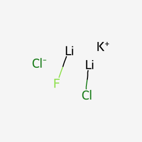 [Cl-].[K+].[Li][Cl].[Li][F]